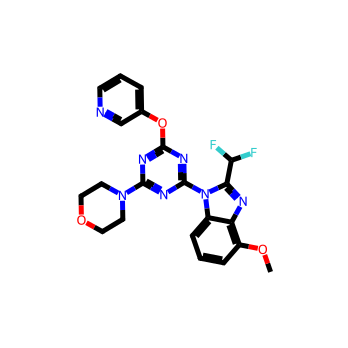 COc1cccc2c1nc(C(F)F)n2-c1nc(Oc2cccnc2)nc(N2CCOCC2)n1